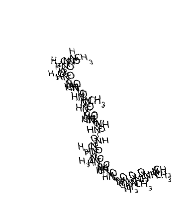 CC(=O)Nc1cn(C)c(C(=O)Nc2cc(C(=O)Nc3cc(C(=O)NCCC(=O)Nc4cn(C)c(C(=O)Nc5cc(C(=O)Nc6c[nH]c(C(=O)NCCCC(=O)Nc7cc(C(=O)Nc8cc(C(=O)Nc9cc(C(=O)NCCC(=O)Nc%10cc(C(=O)Nc%11cc(C(=O)NCCC(=O)NCCCN(C)C)n(C)c%11)n(C)c%10)n(C)c9)n(C)c8)n(C)c7)c6)n(C)c5)n4)n(C)c3)n(C)c2)n1